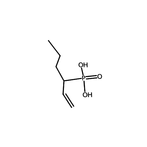 C=CC(CCC)P(=O)(O)O